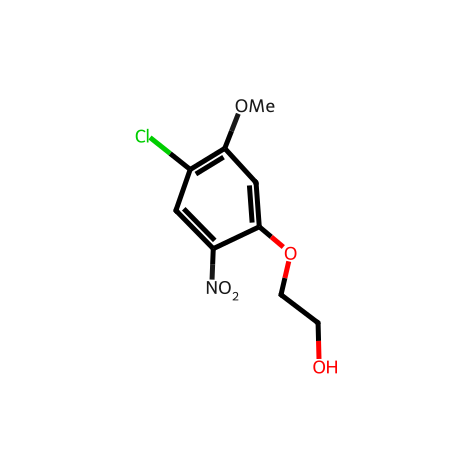 COc1cc(OCCO)c([N+](=O)[O-])cc1Cl